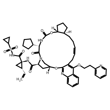 C=C[C@@H]1C[C@]1(NC(=O)[C@@H]1C[C@@H]2CN1C(=O)[C@H](C1CCCC1)NC(=O)O[C@@H]1CCC[C@H]1CCC=CCc1c(nc3ccccc3c1OCCc1ccccn1)O2)C(=O)NS(=O)(=O)C1CC1